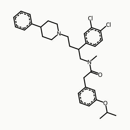 CC(C)Oc1cccc(CC(=O)N(C)CC(CCN2CCC(c3ccccc3)CC2)c2ccc(Cl)c(Cl)c2)c1